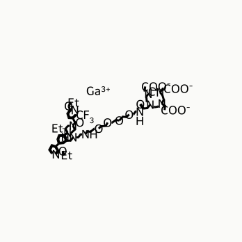 CCOc1ccc(C(=O)N2CCN(c3ccc(-c4cccnc4OCC)cc3CNCCNCCCOCCOCCOCCOCCNC(=O)CN3CCN(CC(=O)[O-])CCN(CC(=O)[O-])CCN(CC(=O)[O-])CC3)[C@H](CC)C2)c(C(F)(F)F)n1.[Ga+3]